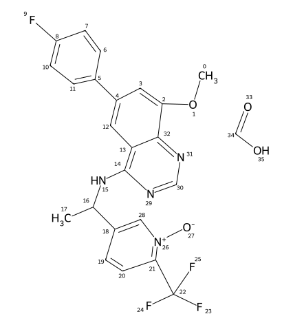 COc1cc(-c2ccc(F)cc2)cc2c(NC(C)c3ccc(C(F)(F)F)[n+]([O-])c3)ncnc12.O=CO